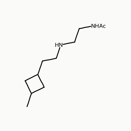 CC(=O)NCCNCCC1CC(C)C1